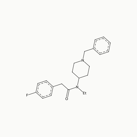 CCN(C(=O)Cc1ccc(F)cc1)C1CCN(Cc2ccccc2)CC1